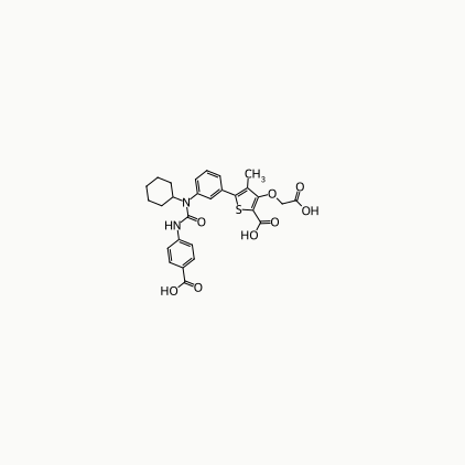 Cc1c(-c2cccc(N(C(=O)Nc3ccc(C(=O)O)cc3)C3CCCCC3)c2)sc(C(=O)O)c1OCC(=O)O